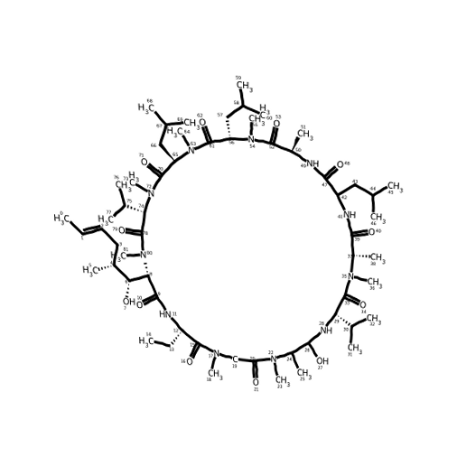 C/C=C/C[C@@H](C)[C@@H](O)[C@H]1C(=O)N[C@@H](CC)C(=O)N(C)CC(=O)N(C)C(C)C(O)N[C@@H](C(C)C)C(=O)N(C)[C@@H](C)C(=O)NC(CC(C)C)C(=O)N[C@H](C)C(=O)N(C)[C@@H](CC(C)C)C(=O)N(C)[C@H](CC(C)C)C(=O)N(C)[C@@H](C(C)C)C(=O)N1C